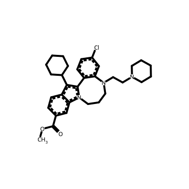 COC(=O)c1ccc2c(C3CCCCC3)c3n(c2c1)CCCN(CCN1CCCCC1)c1cc(Cl)ccc1-3